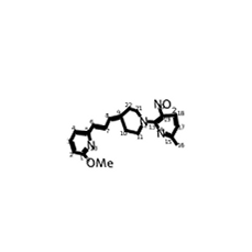 COc1cccc(C=CC=C2CCN(c3nc(C)ccc3[N+](=O)[O-])CC2)n1